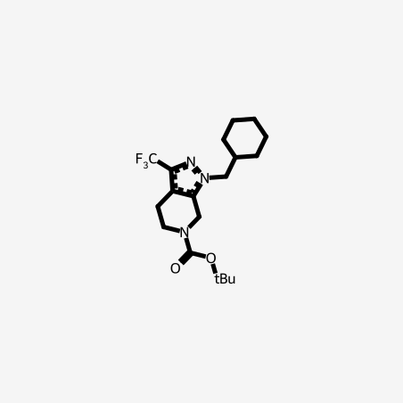 CC(C)(C)OC(=O)N1CCc2c(C(F)(F)F)nn(CC3CCCCC3)c2C1